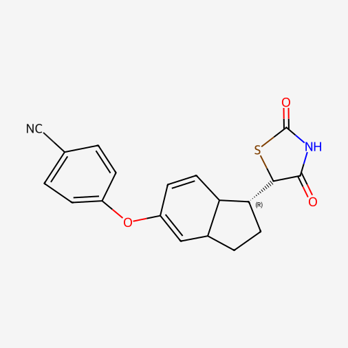 N#Cc1ccc(OC2=CC3CC[C@@H](C4SC(=O)NC4=O)C3C=C2)cc1